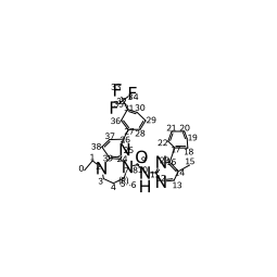 CCN1CC[C@@H](C)N(C(=O)Nc2ncc(C)c(-c3ccccc3)n2)c2nc(-c3cccc(C(F)(F)F)c3)ccc21